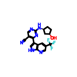 N#Cc1cnc(N[C@@H]2CC[C@H](O)C2)nc1-c1c[nH]c2ncc(C(F)(F)F)cc12